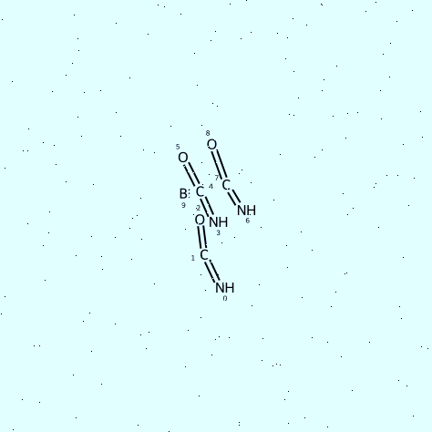 N=C=O.N=C=O.N=C=O.[B]